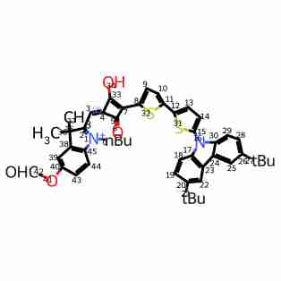 CCCC[N+]1=C(/C=C2\C(=O)C(c3ccc(-c4ccc(-n5c6ccc(C(C)(C)C)cc6c6cc(C(C)(C)C)ccc65)s4)s3)=C2O)C(C)(C)c2cc(OC=O)ccc21